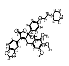 COc1cc(CC2=C(c3ccc4c(c3)OCO4)C(=O)OC2(O)c2ccc(OCCN3CCOCC3)cc2)cc(OC)c1OC